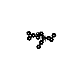 c1ccc(-c2ccc(-c3nc(-c4ccc5c(-c6ccccc6)cccc5c4)nc(-c4cccc5oc6c(-c7ccc(-c8ccccc8)c(-c8ccccc8)c7)cccc6c45)n3)cc2)cc1